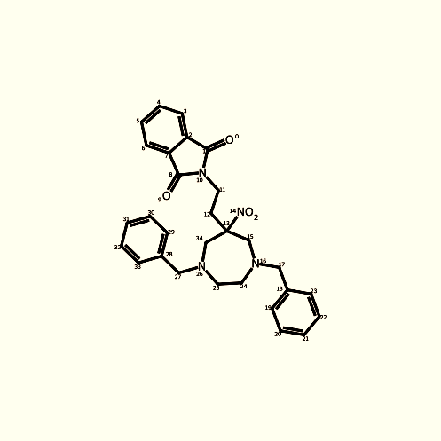 O=C1c2ccccc2C(=O)N1CCC1([N+](=O)[O-])CN(Cc2ccccc2)CCN(Cc2ccccc2)C1